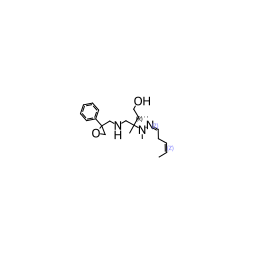 C/C=C\C/C=N\N(C)C(C)(CNCC1(c2ccccc2)CO1)[C@@H](C)CO